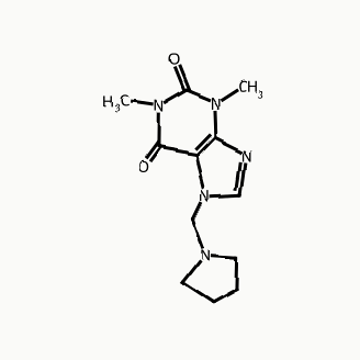 Cn1c(=O)c2c(ncn2CN2CCCC2)n(C)c1=O